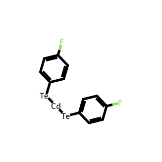 Fc1ccc([Te][Cd][Te]c2ccc(F)cc2)cc1